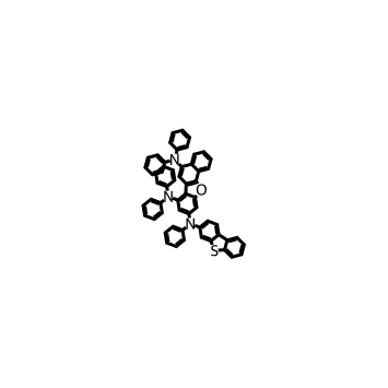 c1ccc(N(c2cc(N(c3ccccc3)c3ccccc3)c3c(c2)oc2c4ccccc4c(N(c4ccccc4)c4ccccc4)cc23)c2ccc3c(c2)sc2ccccc23)cc1